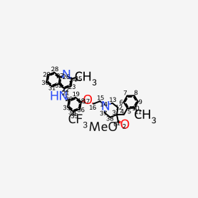 COC(=O)C1(Cc2ccccc2C)CCN(CCOc2cc(Nc3cc(C)nc4ccccc34)cc(C(F)(F)F)c2)CC1